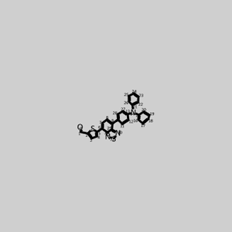 O=Cc1ccc(-c2ccc(-c3ccc(N(c4ccccc4)c4ccccc4)cc3)c3nsnc23)s1